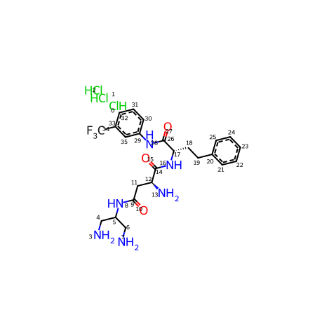 Cl.Cl.Cl.NCC(CN)NC(=O)C[C@H](N)C(=O)N[C@@H](CCc1ccccc1)C(=O)Nc1cccc(C(F)(F)F)c1